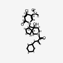 CC(CC1CCCCC1)C(=O)N1CCC(O)(Cn2cc([S+](C)[O-])c(Cl)cc2=O)C2(CCCC2)C1